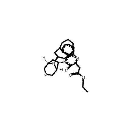 CCOC(=O)Cc1nc2ccccc2n([C@@H]2C[C@@H]3COC[C@H]2N3C2CC3CCCCC(C3)C2)c1=O